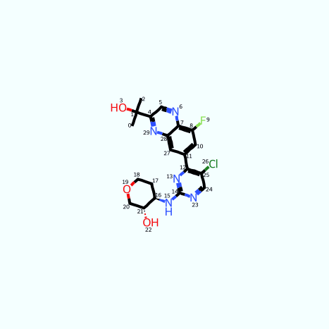 CC(C)(O)c1cnc2c(F)cc(-c3nc(N[C@@H]4CCOC[C@H]4O)ncc3Cl)cc2n1